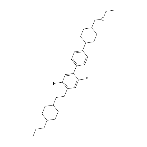 CCCC1CCC(CCc2cc(F)c(-c3ccc(C4CCC(COCC)CC4)cc3)cc2F)CC1